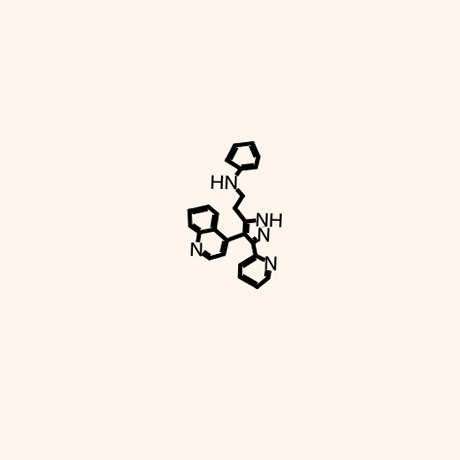 c1ccc(NCCc2[nH]nc(-c3ccccn3)c2-c2ccnc3ccccc23)cc1